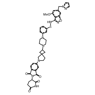 COc1cc(Cn2cccn2)cc2onc(NSc3cccc(N4CCN(C5CC6(CCN(c7ccc8c(c7)C(=O)N(C7CCC(=O)NC7=O)C8=O)C6)C5)CC4)c3)c12